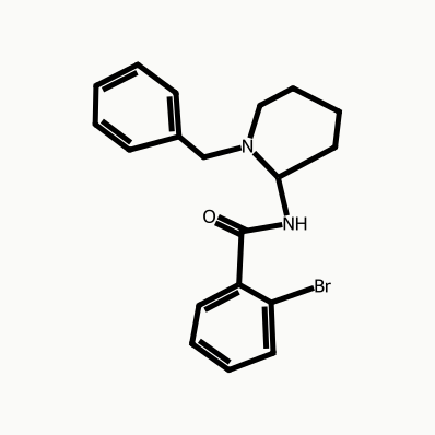 O=C(NC1CCCCN1Cc1ccccc1)c1ccccc1Br